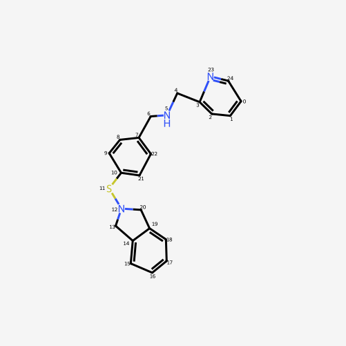 c1ccc(CNCc2ccc(SN3Cc4ccccc4C3)cc2)nc1